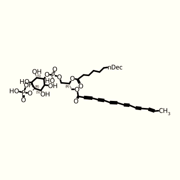 CC#CC#CC#CC#CC#CC#CC(=O)OC[C@H](COP(=O)(O)OC1C(O)[C@H](O)[C@H](OP(=O)(O)O)C(O)[C@@H]1O)OC(=O)CCCCCCCCCCCCCCC